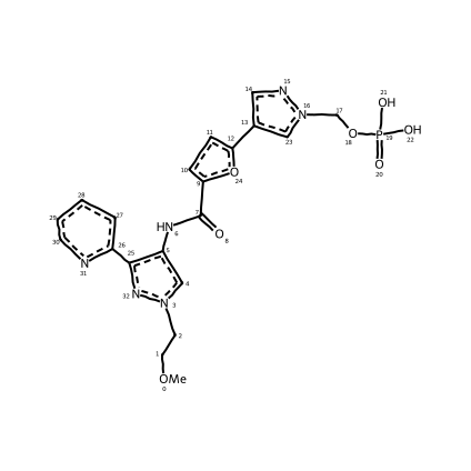 COCCn1cc(NC(=O)c2ccc(-c3cnn(COP(=O)(O)O)c3)o2)c(-c2ccccn2)n1